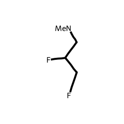 CNCC(F)CF